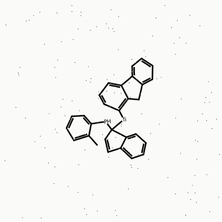 Cc1ccccc1P[C]1([Ti][c]2cccc3c2Cc2ccccc2-3)C=Cc2ccccc21